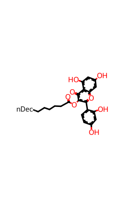 CCCCCCCCCCCCCCCC(=O)Oc1c(-c2ccc(O)cc2O)oc2cc(O)cc(O)c2c1=O